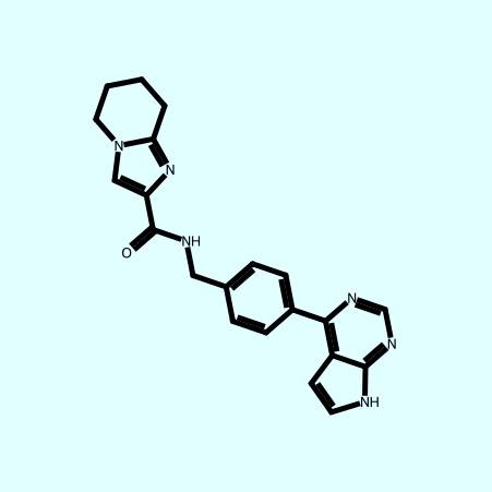 O=C(NCc1ccc(-c2ncnc3[nH]ccc23)cc1)c1cn2c(n1)CCCC2